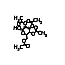 CC(=O)OCC1O[C@H](O)[C@@H](OC(C)=O)[C@@H](OC(C)=O)C1OC(C)=O